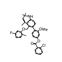 COc1cc(OC(=O)c2ccccc2Cl)ccc1-c1ccc2c(c1COc1cc(F)ccc1C)C(C)=CC(C)(C)N2